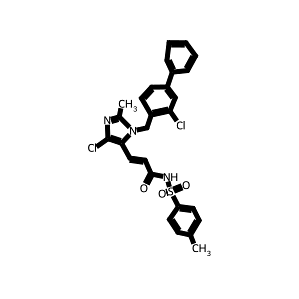 Cc1ccc(S(=O)(=O)NC(=O)C=Cc2c(Cl)nc(C)n2Cc2ccc(-c3ccccc3)cc2Cl)cc1